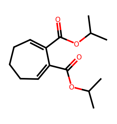 CC(C)OC(=O)C1=CCCCC=C1C(=O)OC(C)C